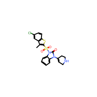 Cc1c(S(=O)(=O)n2c(=O)n(C3=CCNCC3)c3ccccc32)sc2ccc(Cl)cc12